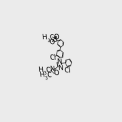 CC1(C)COC(c2cn(-c3ccc(-c4cccc(S(C)(=O)=O)c4)cc3Cl)c(-c3ccccc3Cl)n2)=N1